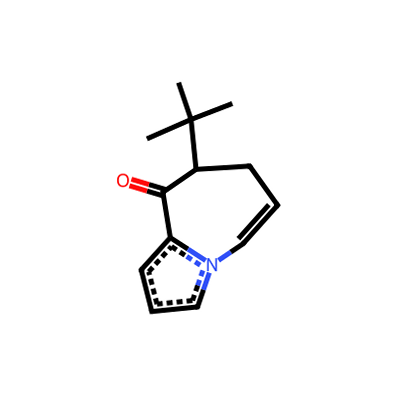 CC(C)(C)C1CC=Cn2cccc2C1=O